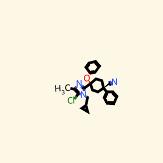 Cc1nc([C@]2(Oc3ccccc3)CC[C@](C#N)(c3ccccc3)CC2)n(CC2CC2)c1Cl